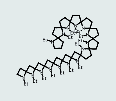 CCN1CCCC12CCC1(CCC3(CCC4(CCC5(CCC6(CCC7(CCC8(CC9(CC%10(CC%11(CC%12(CC%13(CC%14(CCN%14CC)N%13CC)N%12CC)N%11CC)N%10CC)N9CC)N8CC)N7CC)N6CC)N5CC)N4CC)N3CC)N1CC)N2CC